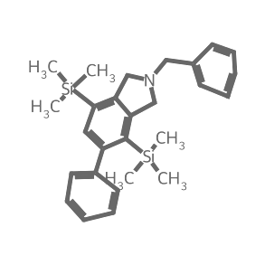 C[Si](C)(C)c1cc(-c2ccccc2)c([Si](C)(C)C)c2c1CN(Cc1ccccc1)C2